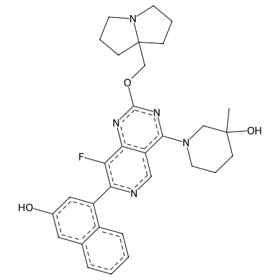 CC1(O)CCCN(c2nc(OCC34CCCN3CCC4)nc3c(F)c(-c4cc(O)cc5ccccc45)ncc23)C1